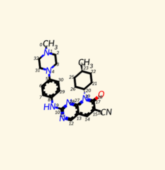 CN1CCN(c2ccc(Nc3ncc4cc(C#N)c(=O)n([C@H]5CC[C@H](C)CC5)c4n3)cc2)CC1